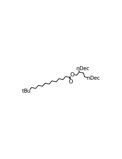 CCCCCCCCCCCCC(CCCCCCCCCC)COC(=O)CCCCCCCCCCCC(C)(C)C